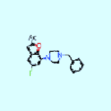 CC(=O)c1cc2cc(F)cc(N3CCN(Cc4ccccc4)CC3)c2o1